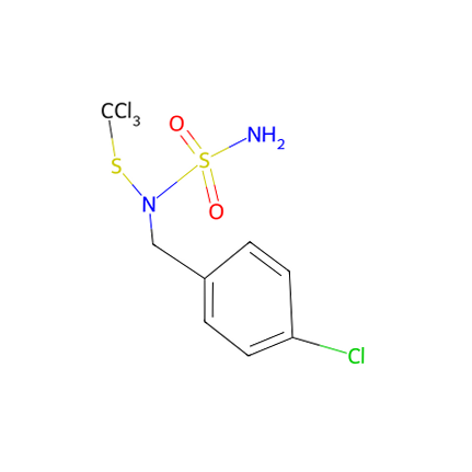 NS(=O)(=O)N(Cc1ccc(Cl)cc1)SC(Cl)(Cl)Cl